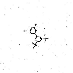 Oc1cc(F)cc(-c2cc(C(F)(F)F)cc(C(F)(F)F)c2)c1